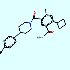 C#Cc1ccc(C2CCN(C(=O)c3cc(C(=O)NC)c(C4CCC4)cc3C)CC2)cc1